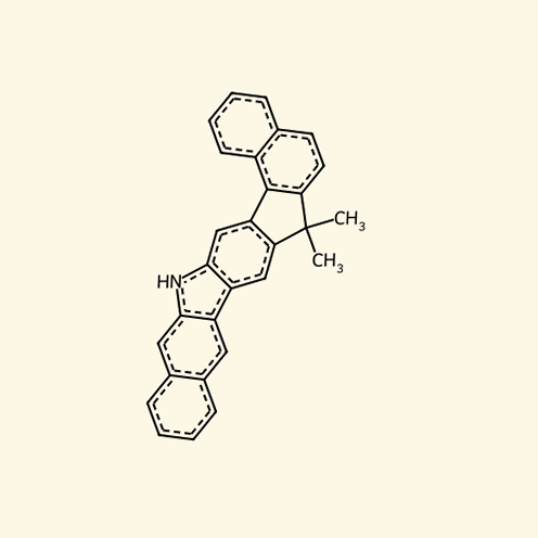 CC1(C)c2cc3c(cc2-c2c1ccc1ccccc21)[nH]c1cc2ccccc2cc13